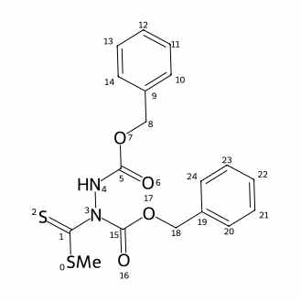 CSC(=S)N(NC(=O)OCc1ccccc1)C(=O)OCc1ccccc1